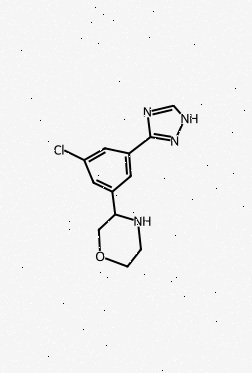 Clc1cc(-c2nc[nH]n2)cc(C2COCCN2)c1